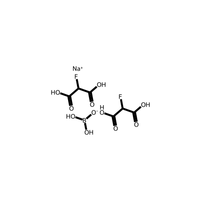 O=C(O)C(F)C(=O)O.O=C(O)C(F)C(=O)O.[Na+].[O-]B(O)O